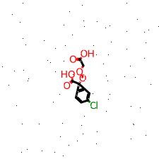 O=C(O)COOC1(C(=O)O)c2ccc(Cl)cc21